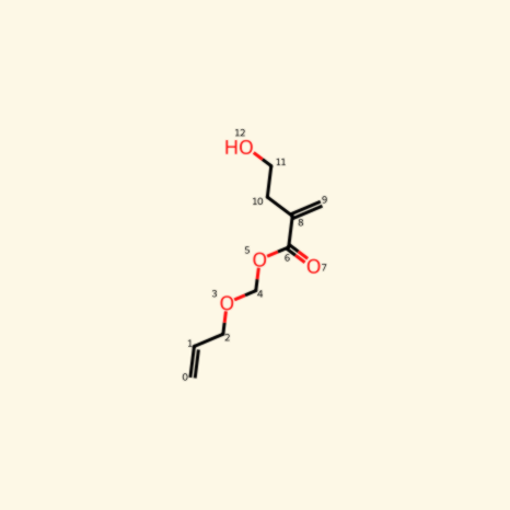 C=CCOCOC(=O)C(=C)CCO